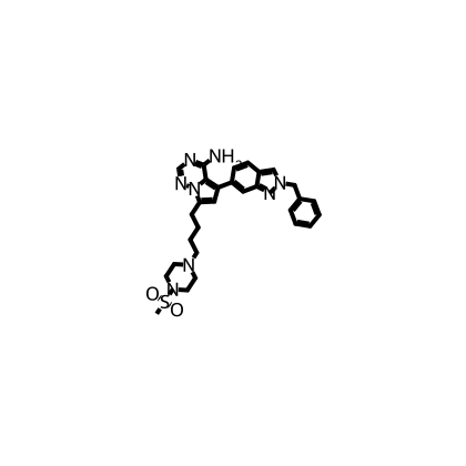 CS(=O)(=O)N1CCN(CCCCc2cc(-c3ccc4cn(Cc5ccccc5)nc4c3)c3c(N)ncnn23)CC1